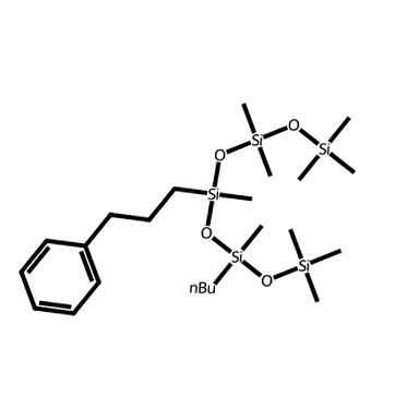 CCCC[Si](C)(O[Si](C)(C)C)O[Si](C)(CCCc1ccccc1)O[Si](C)(C)O[Si](C)(C)C